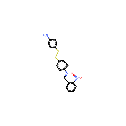 Nc1ccc(SSc2ccc(/N=C/c3ccccc3[N+](=O)[O-])cc2)cc1